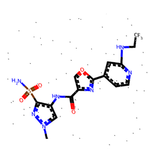 Cn1cc(NC(=O)c2coc(-c3ccnc(NCC(F)(F)F)c3)n2)c(S(N)(=O)=O)n1